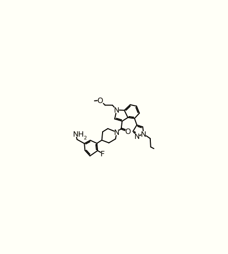 CCCn1cc(-c2cccc3c2c(C(=O)N2CCC(c4cc(CN)ccc4F)CC2)cn3CCOC)cn1